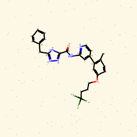 Cc1ccc(OCCCC(F)(F)F)cc1-c1ccnc(NC(=O)c2nnc(Cc3ccccc3)[nH]2)c1